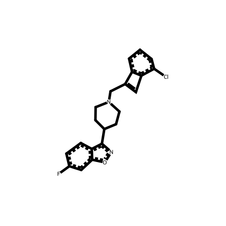 Fc1ccc2c(C3CCN(CC4=Cc5c(Cl)cccc54)CC3)noc2c1